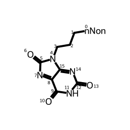 CCCCCCCCCCCCN1C(=O)N=C2C(=O)NC(=O)N=C21